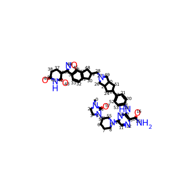 CN1CCN([C@@H]2CCCN(c3cnc(C(N)=O)c(Nc4ccc(C5CC6CN(CC7Cc8ccc9c(C%10CCC(=O)NC%10=O)noc9c8C7)CC6C5)cc4)n3)C2)C1=O